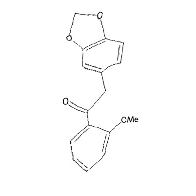 COc1ccccc1C(=O)Cc1ccc2c(c1)OCO2